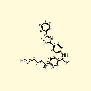 CC(C)C(Nc1ccc(-c2noc(-c3ccccc3)n2)cc1)c1ccc(C(=O)NCCC(=O)O)cc1